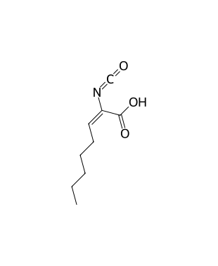 CCCCC/C=C(/N=C=O)C(=O)O